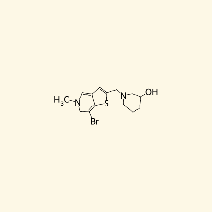 CN1C=c2cc(CN3CCCC(O)C3)sc2=C(Br)C1